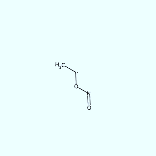 C[CH]ON=O